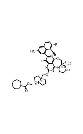 C#Cc1c(F)ccc2cc(O)cc(-c3nc4c5c(nc(OC[C@@]67CCCN6[C@H](COC(=O)N6CCCCCC6)CC7)nc5c3F)N3CCN[C@@H](CC)[C@H]3CO4)c12